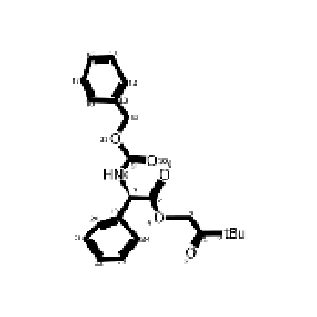 CC(C)(C)C(=O)COC(=O)[C@H](NC(=O)OCc1ccccc1)c1ccccc1